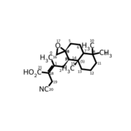 CC(C[C@H]1[C@]2(CCC3C(C)(C)CCC[C@@]31C)CO2)=C(CC#N)C(=O)O